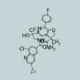 C[C@]1(C(N)=O)COc2c1cc(C(O)(CNC(=O)c1cc(Cl)c3ncc(C4CC4)cc3c1)C(F)(F)F)nc2-c1ccc(F)cc1